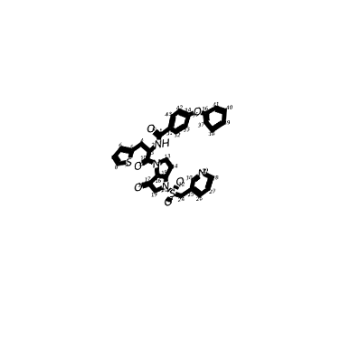 O=C(NC(Cc1cccs1)C(=O)N1CCC2C1C(=O)CN2S(=O)(=O)Cc1cccnc1)c1ccc(Oc2ccccc2)cc1